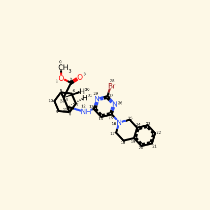 COC(=O)[C@H]1C2CCC(CC2)[C@@H]1Nc1cc(N2CCc3ccccc3C2)nc(Br)n1